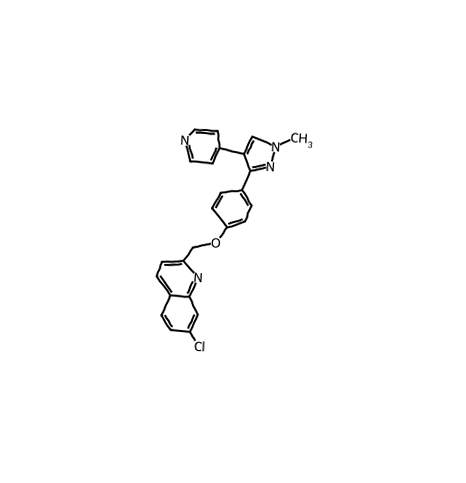 Cn1cc(-c2ccncc2)c(-c2ccc(OCc3ccc4ccc(Cl)cc4n3)cc2)n1